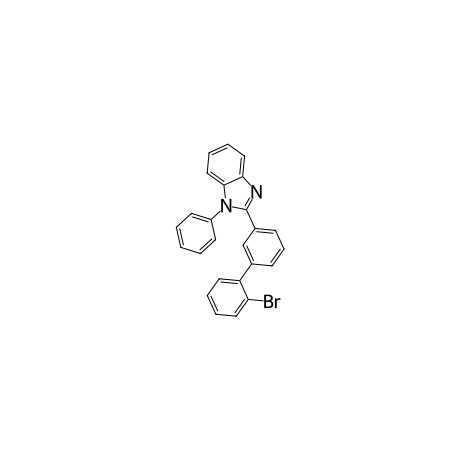 Brc1ccccc1-c1cccc(-c2nc3ccccc3n2-c2ccccc2)c1